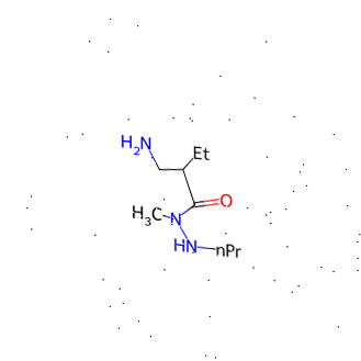 CCCNN(C)C(=O)C(CC)CN